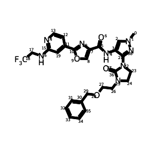 Cn1cc(NC(=O)c2coc(-c3ccnc(NCC(F)(F)F)c3)n2)c(N2CCN(CCOCc3ccccc3)C2=O)n1